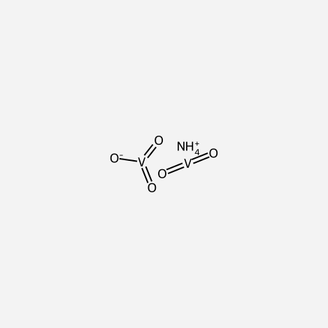 [NH4+].[O]=[V](=[O])[O-].[O]=[V]=[O]